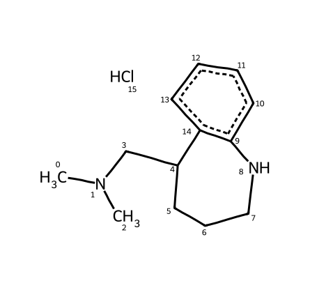 CN(C)CC1CCCNc2ccccc21.Cl